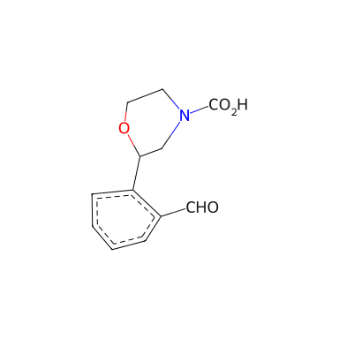 O=Cc1ccccc1C1CN(C(=O)O)CCO1